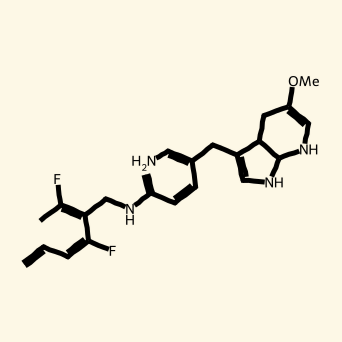 C=C/C=C(F)\C(CNC(=C)/C=C\C(=C/N)CC1=CNC2NC=C(OC)CC12)=C(/C)F